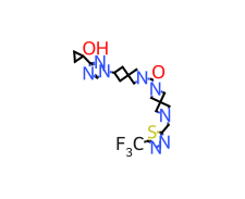 O=C(N1CC2(CC(n3cnc(C4(O)CC4)n3)C2)C1)N1CC2(CN(Cc3nnc(C(F)(F)F)s3)C2)C1